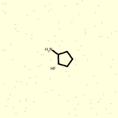 F.NC1CCCC1